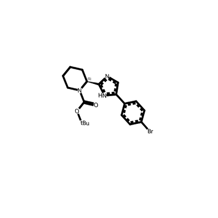 CC(C)(C)OC(=O)N1CCCC[C@H]1c1ncc(-c2ccc(Br)cc2)[nH]1